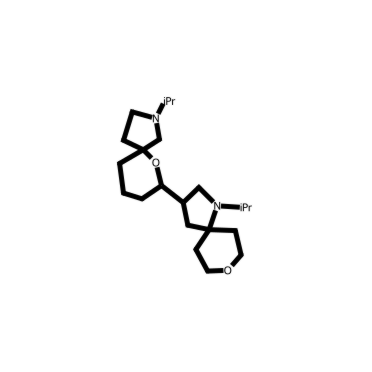 CC(C)N1CCC2(CCCC(C3CN(C(C)C)C4(CCOCC4)C3)O2)C1